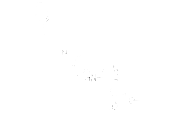 COc1cc2nccc(Nc3ccc(N4CCC(Cc5ccccc5)CC4)cc3)c2cc1OC